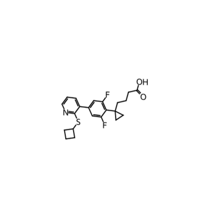 O=C(O)CCCC1(c2c(F)cc(-c3cccnc3SC3CCC3)cc2F)CC1